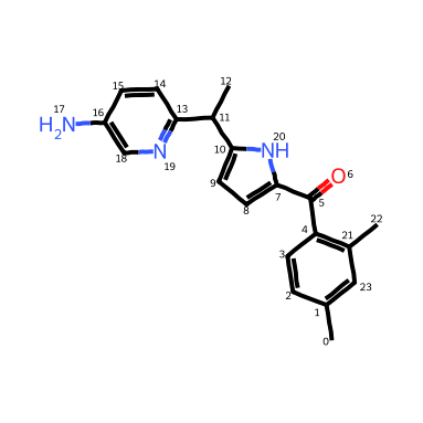 Cc1ccc(C(=O)c2ccc(C(C)c3ccc(N)cn3)[nH]2)c(C)c1